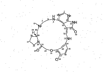 CN1CCNc2ncnc3c2/C(=C/Nc2ccc(Cl)c(c2)OCC(=O)N2CCC[C@@H]2C1)C(=O)N3